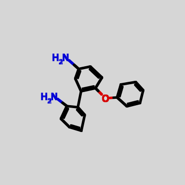 Nc1ccc(Oc2ccccc2)c(-c2ccccc2N)c1